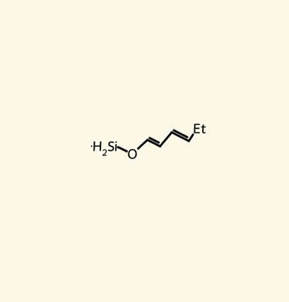 CCC=CC=CO[SiH2]